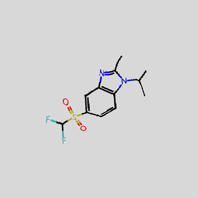 Cc1nc2cc(S(=O)(=O)C(F)F)ccc2n1C(C)C